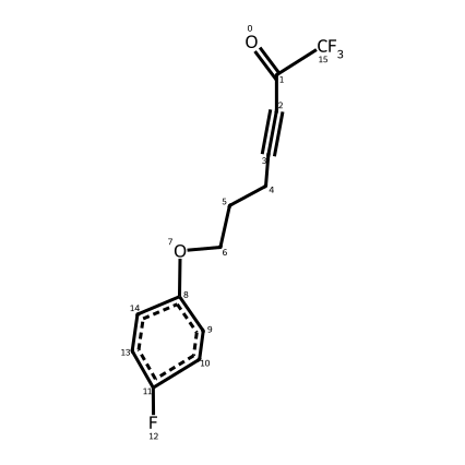 O=C(C#CCCCOc1ccc(F)cc1)C(F)(F)F